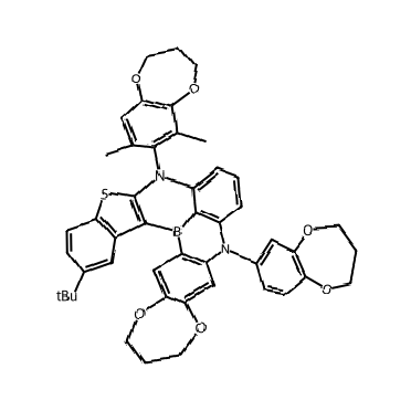 Cc1cc2c(c(C)c1N1c3cccc4c3B(c3cc5c(cc3N4c3ccc4c(c3)OCCCO4)OCCCO5)c3c1sc1ccc(C(C)(C)C)cc31)OCCCO2